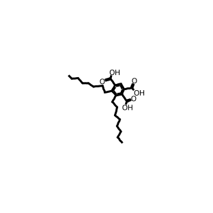 CCCCCCCCc1c(C(=O)O)cc(C(=O)O)c(C(=O)O)c1CCCCCCCC